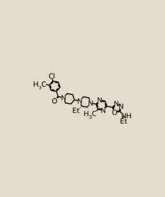 CCNc1nnc(-c2cnc(N3CCN(C4CCN(C(=O)c5ccc(Cl)c(C)c5)CC4)[C@@H](CC)C3)c(C)n2)o1